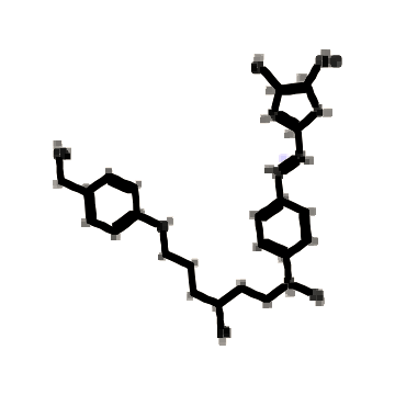 CCC(CCCOc1ccc(CC#N)cc1)CCN(CC)c1ccc(/N=N/c2nc(Cl)c(C=O)s2)cc1